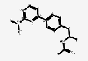 CC(=O)NC(C)Cc1ccc(-c2ccnc([S+](C)[O-])n2)cc1